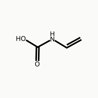 C=CNC(=O)O